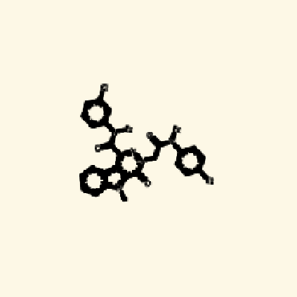 CCc1ccc(N(CC)C(=O)Cn2nc(C(=O)N(CC)c3cccc(Cl)c3)c3c4ccccc4n(C)c3c2=O)cc1